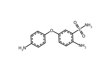 Nc1ccc(Oc2ccc(N)c(S(N)(=O)=O)c2)cc1